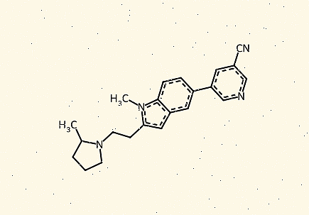 CC1CCCN1CCc1cc2cc(-c3cncc(C#N)c3)ccc2n1C